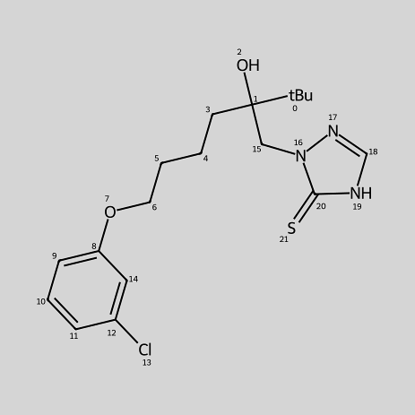 CC(C)(C)C(O)(CCCCOc1cccc(Cl)c1)Cn1nc[nH]c1=S